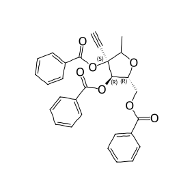 C#C[C@]1(OC(=O)c2ccccc2)C(C)O[C@H](COC(=O)c2ccccc2)[C@H]1OC(=O)c1ccccc1